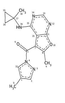 Cc1cnn(C(=O)c2c(C)oc3ncnc(NC4(C)CC4)c23)c1